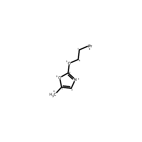 Cc1cnc(OCCC(C)C)o1